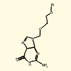 CC(C)OCCOCN1C=NC2C(=O)NC(N)=NC21